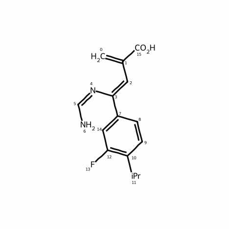 C=C(/C=C(\N=C/N)c1ccc(C(C)C)c(F)c1)C(=O)O